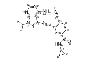 CC(C)n1cc(C#Cc2cc(C(=O)NC3CC3)ccc2C#N)c2c(N)ncnc21